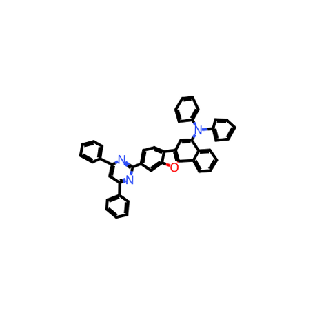 c1ccc(-c2cc(-c3ccccc3)nc(-c3ccc4c(c3)oc3c5ccccc5c(N(c5ccccc5)c5ccccc5)cc43)n2)cc1